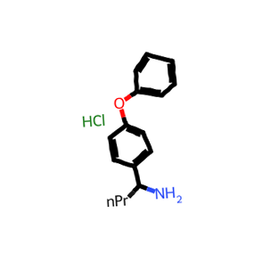 CCCC(N)c1ccc(Oc2ccccc2)cc1.Cl